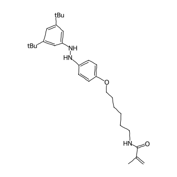 C=C(C)C(=O)NCCCCCCOc1ccc(NNc2cc(C(C)(C)C)cc(C(C)(C)C)c2)cc1